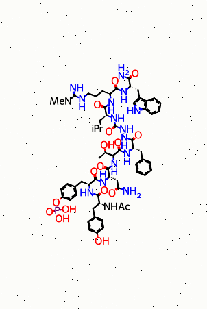 CNC(=N)NCCC[C@H](NC(=O)[C@H](CC(C)C)NC(=O)NNC(=O)[C@H](Cc1ccccc1)NC(=O)[C@@H](NC(=O)[C@H](CC(N)=O)NC(=O)[C@H](Cc1ccc(OP(=O)(O)O)cc1)NC(=O)[C@@H](Cc1ccc(O)cc1)NC(C)=O)[C@@H](C)O)C(=O)N[C@@H](Cc1c[nH]c2ccccc12)C(N)=O